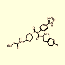 CC(C)(C)OC(=O)NC[C@H]1CC[C@H](C(=O)N(C(=O)[C@@H](N)Cc2ccc(I)cc2)c2ccc(-c3nnn[nH]3)cc2)CC1